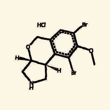 COc1c(Br)cc2c(c1Br)[C@H]1CNC[C@@H]1OC2.Cl